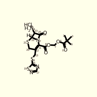 CC(C)(C)C(=O)OCOC(=O)C1=C(CSc2ncns2)CS[C@@H]2C(N)C(=O)N12.Cl